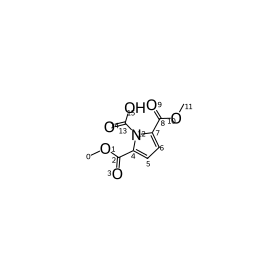 COC(=O)c1ccc(C(=O)OC)n1C(=O)O